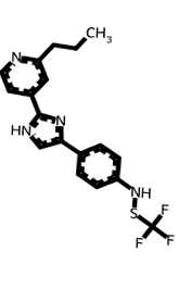 CCCc1cc(-c2nc(-c3ccc(NSC(F)(F)F)cc3)c[nH]2)ccn1